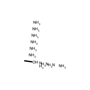 CO.N.N.N.N.N.N.N.N.N.N